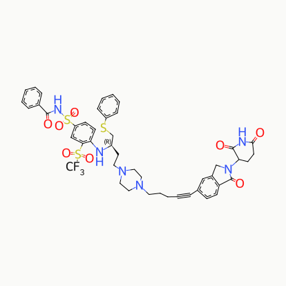 O=C1CCC(N2Cc3cc(C#CCCCN4CCN(CC[C@H](CSc5ccccc5)Nc5ccc(S(=O)(=O)NC(=O)c6ccccc6)cc5S(=O)(=O)C(F)(F)F)CC4)ccc3C2=O)C(=O)N1